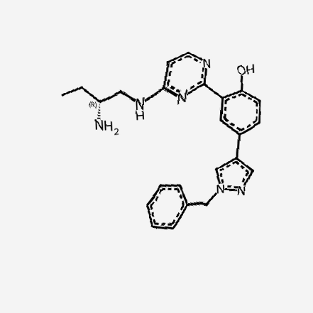 CC[C@@H](N)CNc1ccnc(-c2cc(-c3cnn(Cc4ccccc4)c3)ccc2O)n1